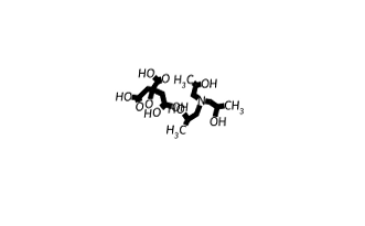 CC(O)CN(CC(C)O)CC(C)O.O=C(O)CC(O)(CC(=O)O)C(=O)O